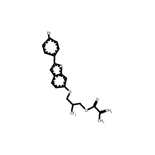 C=C(C)C(=O)OCC(COc1ccc2cc(-c3ccc(CC)cc3)sc2c1)C(F)(F)F